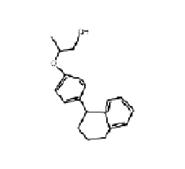 CC(CO)Oc1ccc(C2CCCc3ccccc32)cc1